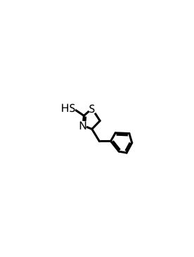 SC1=NC(Cc2ccccc2)CS1